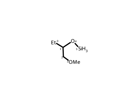 CCC(COC)O[SiH3]